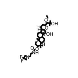 CCO[C@@H](C1C[C@@H](C)[C@H]2C(O1)[C@H](O)[C@@]1(C)C3CC[C@H]4C(C)(C)[C@@H](OC(=O)NCCN5CC(F)(F)C5)CC[C@@]45C[C@@]35CC[C@]21C)C(C)(C)O